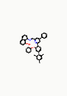 Cc1cc(C)c(-c2ccc(-c3cc(-c4ccccc4)cc(/C=N/c4cccc5cccc(O)c45)n3)c(Oc3ccccc3)c2)c(C)c1